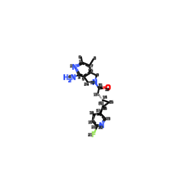 Cc1nc(N)c2c(c1C)CN(C(=O)C[C@@H]1C[C@H]1c1ccc(F)nc1)C2